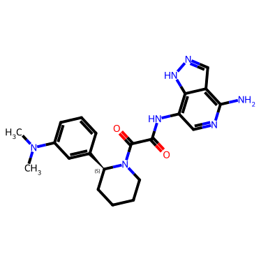 CN(C)c1cccc([C@@H]2CCCCN2C(=O)C(=O)Nc2cnc(N)c3cn[nH]c23)c1